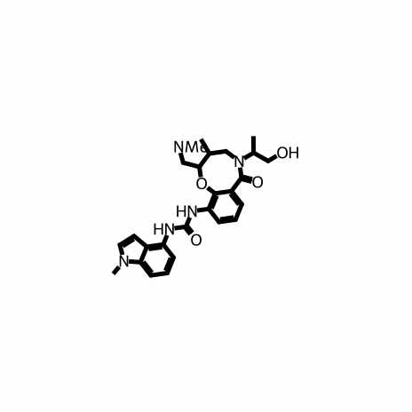 CNCC1Oc2c(NC(=O)Nc3cccc4c3ccn4C)cccc2C(=O)N(C(C)CO)CC1C